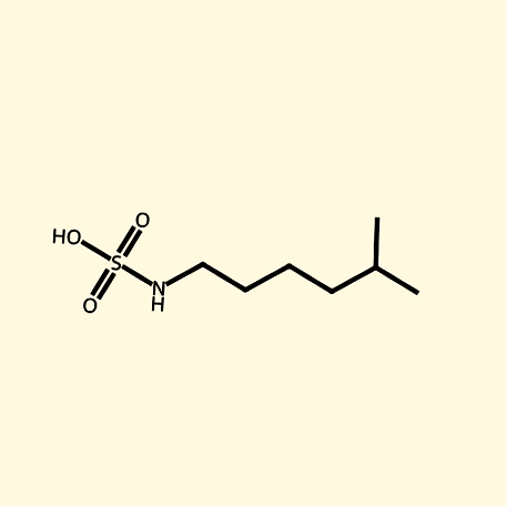 CC(C)CCCCNS(=O)(=O)O